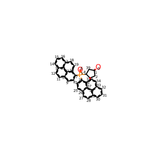 O=C1CCC(P(=O)(c2ccc3ccc4cccc5ccc2c3c45)c2ccc3ccc4cccc5ccc2c3c45)C1